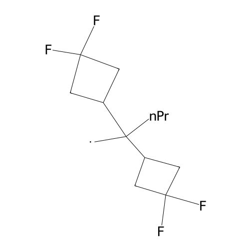 [CH2]C(CCC)(C1CC(F)(F)C1)C1CC(F)(F)C1